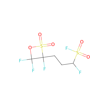 O=S(=O)(F)C(F)CCC1(F)C(F)(F)OS1(=O)=O